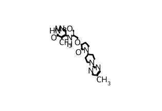 COC[C@@H](CO[C@@H]1CCN(C2CCN(c3ncc(C)cn3)CC2)C1=O)Nc1cn[nH]c(=O)c1C(F)(F)F